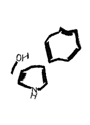 CO.c1cc[nH]c1.c1ccccc1